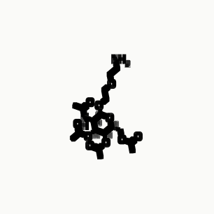 CC(=O)N[C@H]1[C@H](OCCOCCN)O[C@H](COC(C)=O)[C@H](OC(C)=O)[C@@H]1OC(C)=O